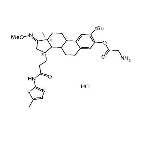 CON=C1C[C@@H](CCC(=O)Nc2ncc(C)s2)C2C3CCc4cc(OC(=O)CN)c(C(C)(C)C)cc4C3CC[C@]12C.Cl